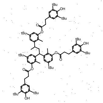 Cc1c(OC(=O)CCc2cc(C(C)(C)C)c(O)c(C(C)(C)C)c2)cc(C(C)(C)C)cc1C(C)CC(c1cc(C(C)(C)C)cc(OC(=O)CCc2cc(C(C)(C)C)c(O)c(C(C)(C)C)c2)c1C)c1cc(C(C)(C)C)cc(OC(=O)CCc2cc(C(C)(C)C)c(O)c(C(C)(C)C)c2)c1C